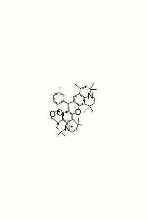 COC(=O)c1ccc(C)cc1C1=c2cc3c4c(c2Oc2c1cc1c5c2C(C)(C)CCN5C(C)(C)C=C1C)C(C)(C)CC[N+]=4C(C)(C)C=C3C